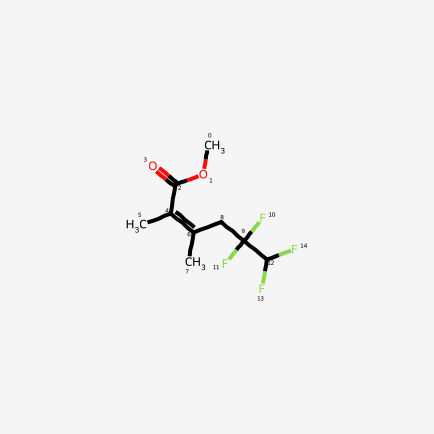 COC(=O)C(C)=C(C)CC(F)(F)C(F)F